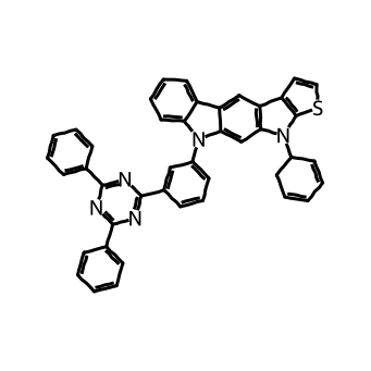 C1=CCC(n2c3cc4c(cc3c3ccsc32)c2ccccc2n4-c2cccc(-c3nc(-c4ccccc4)nc(-c4ccccc4)n3)c2)C=C1